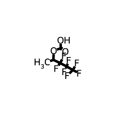 CC(OC(=O)O)C(F)(F)C(F)(F)C(F)(F)F